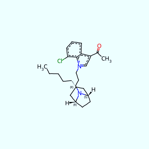 CCCCC[C@H]1C[C@H]2CC[C@@H](C1)N2CCCn1cc(C(C)=O)c2cccc(Cl)c21